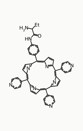 CCC(N)C(=O)Nc1ccc(C2=C3C=CC(=N3)C(c3ccncc3)=C3C=CC(=N3)C(c3ccncc3)=C3C=CC(=N3)C(c3ccncc3)=C3C=CC2=N3)cc1